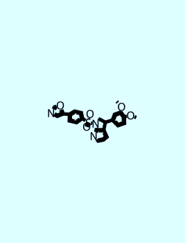 COc1ccc(C2CN(S(=O)(=O)c3ccc(-c4cnco4)cc3)c3ncccc32)cc1OC